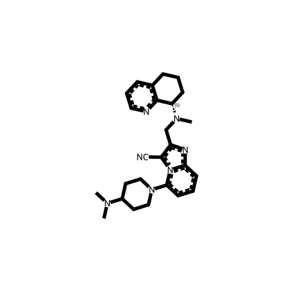 CN(C)C1CCN(c2cccc3nc(CN(C)[C@H]4CCCc5cccnc54)c(C#N)n23)CC1